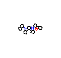 c1ccc2c(-n3c4ccccc4c4c5c6ccccc6n(-c6cccc7c6oc6ccccc67)c5ccc43)cccc2c1